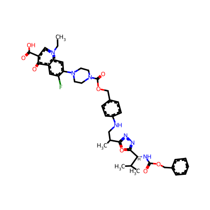 CCn1cc(C(=O)O)c(=O)c2cc(F)c(N3CCN(C(=O)OCc4ccc(NCC(C)c5nnc([C@H](NC(=O)OCc6ccccc6)C(C)C)o5)cc4)CC3)cc21